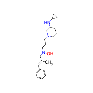 C/C(=C\c1ccccc1)CN(O)CCCN1CCCC(NC2CC2)C1